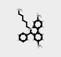 CCCCCC[n+]1c(-c2ccccc2)c2cc(N)ccc2c2ccc(N)cc21